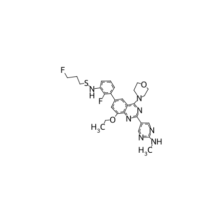 CCOc1cc(-c2cccc(NSCCCF)c2F)cc2c(N3CCOCC3)nc(-c3cnc(NC)nc3)nc12